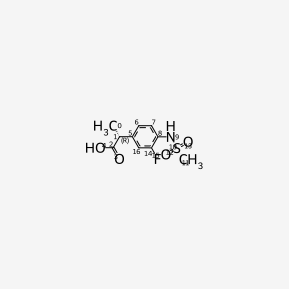 C[C@@H](C(=O)O)c1ccc(NS(C)(=O)=O)c(F)c1